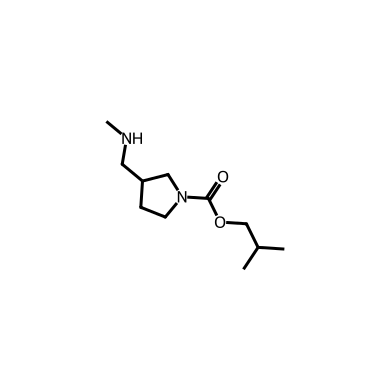 CNCC1CCN(C(=O)OCC(C)C)C1